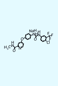 CNC(=O)c1cc(Oc2ccc(NC(=O)Nc3ccc(Cl)c(C(F)(F)F)c3)cc2)ccn1.[NaH]